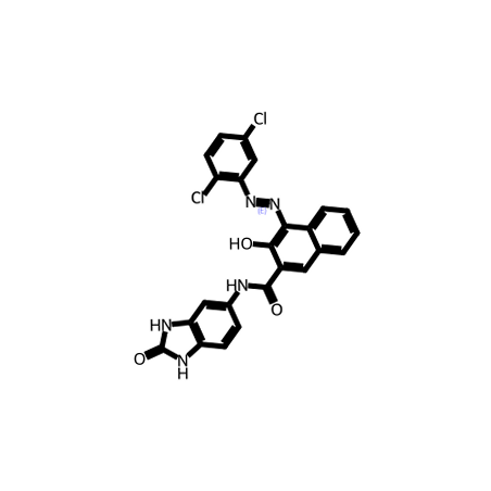 O=C(Nc1ccc2[nH]c(=O)[nH]c2c1)c1cc2ccccc2c(/N=N/c2cc(Cl)ccc2Cl)c1O